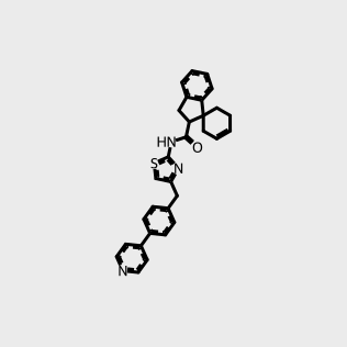 O=C(Nc1nc(Cc2ccc(-c3ccncc3)cc2)cs1)C1Cc2ccccc2C12CC=CCC2